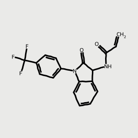 C=CC(=O)NC1C(=O)N(c2ccc(C(F)(F)F)cc2)c2ccccc21